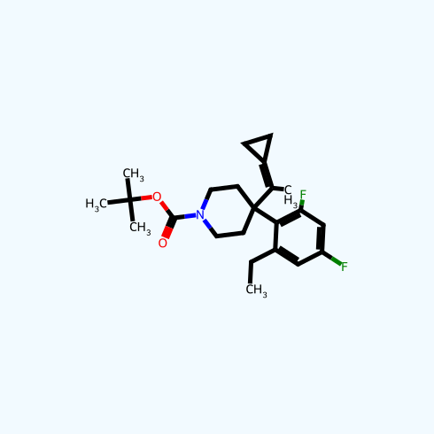 CCc1cc(F)cc(F)c1C1(C(C)=C2CC2)CCN(C(=O)OC(C)(C)C)CC1